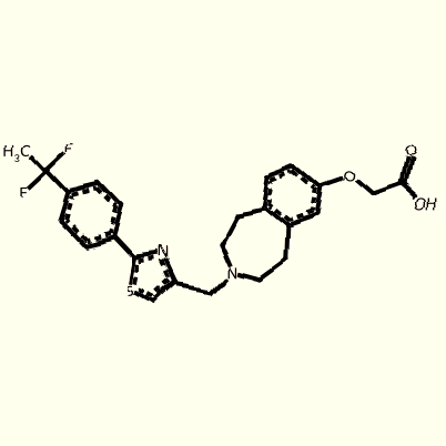 CC(F)(F)c1ccc(-c2nc(CN3CCc4ccc(OCC(=O)O)cc4CC3)cs2)cc1